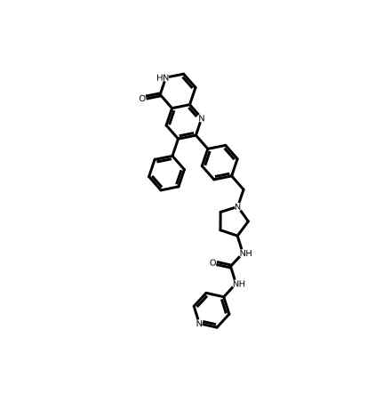 O=C(Nc1ccncc1)NC1CCN(Cc2ccc(-c3nc4cc[nH]c(=O)c4cc3-c3ccccc3)cc2)C1